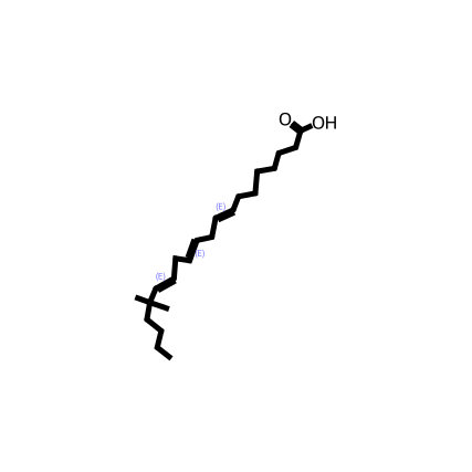 CCCCC(C)(C)/C=C/C/C=C/C/C=C/CCCCCCC(=O)O